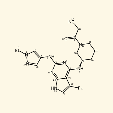 CCn1cc(Nc2nc(N[C@@H]3CCCN(C(=O)CC#N)C3)c3c(F)c[nH]c3n2)cn1